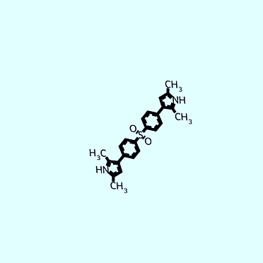 Cc1cc(-c2ccc(S(=O)(=O)c3ccc(-c4cc(C)[nH]c4C)cc3)cc2)c(C)[nH]1